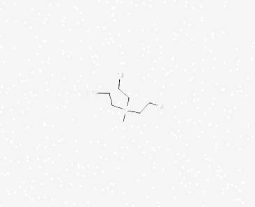 C[N+](CCN)(CCN)CCN.[Cl-]